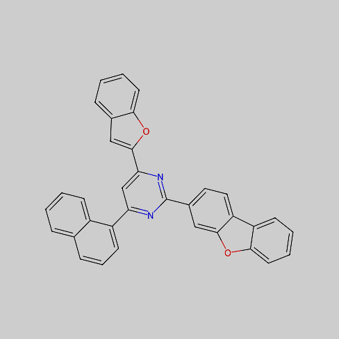 c1ccc2oc(-c3cc(-c4cccc5ccccc45)nc(-c4ccc5c(c4)oc4ccccc45)n3)cc2c1